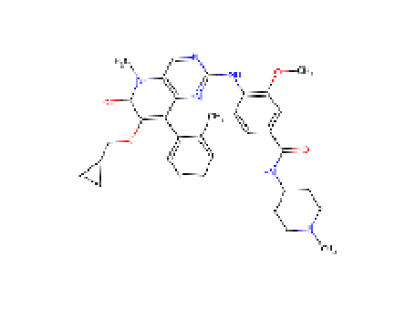 COc1cc(C(=O)NC2CCN(C)CC2)ccc1Nc1ncc2c(n1)c(-c1ccccc1C)c(OCC1CC1)c(=O)n2C